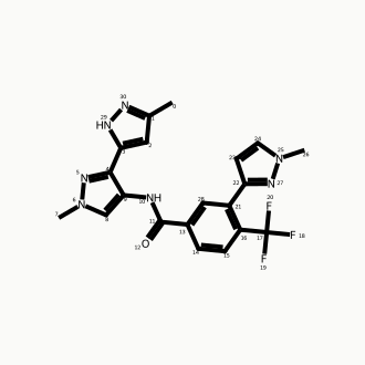 Cc1cc(-c2nn(C)cc2NC(=O)c2ccc(C(F)(F)F)c(-c3ccn(C)n3)c2)[nH]n1